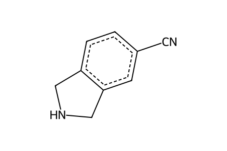 N#Cc1ccc2c(c1)CNC2